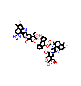 CC[C@@]1(O)C(=O)OCc2c1cc1n(c2=O)Cc2c-1nc1cc(F)c(C)c3c1c2C(C)(N(C)C(=O)OC1c2ccccc2-c2ccccc21)CC3.CC[C@@]1(O)C(=O)OCc2c1cc1n(c2=O)Cc2c-1nc1cc(F)c(C)c3c1c2[C@](C)(N)CC3